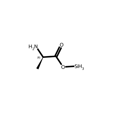 C[C@@H](N)C(=O)O[SiH3]